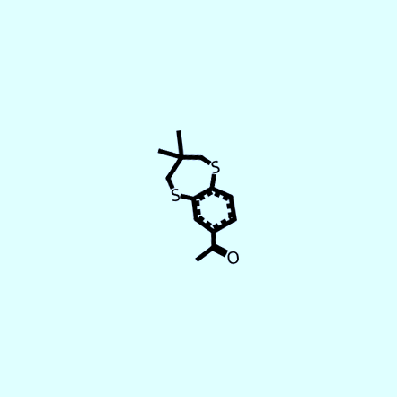 CC(=O)c1ccc2c(c1)SCC(C)(C)CS2